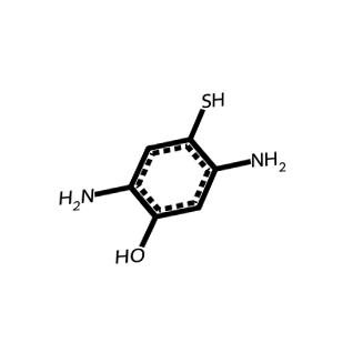 Nc1cc(S)c(N)cc1O